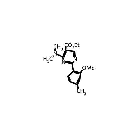 CCOC(=O)c1cnc(-c2ccc(C)cc2OC)nc1N(C)C